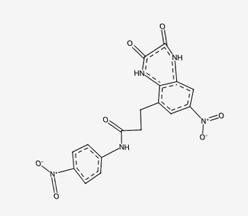 O=C(CCc1cc([N+](=O)[O-])cc2[nH]c(=O)c(=O)[nH]c12)Nc1ccc([N+](=O)[O-])cc1